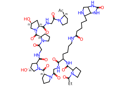 CCC(=O)N1CCCC1C(=O)NC(CCCCNC(=O)CCCCC1NCC2NC(=O)NC12)C(=O)NCC(=O)N1CCC[C@@H]1C(=O)N1C[C@H](O)CC1C(=O)NCC(=O)N1CCC[C@@H]1C(=O)N1C[C@@H](O)C[C@H]1C(=O)NCC(=O)N1CCC[C@@H]1C(C)=O